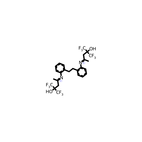 C/C(CC(O)(C(F)(F)F)C(F)(F)F)=N\c1ccccc1CCc1ccccc1/N=C(\C)CC(O)(C(F)(F)F)C(F)(F)F